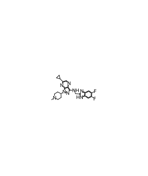 CN1CCC(n2nc(NCc3nc4cc(F)c(F)cc4[nH]3)c3ncc(C4CC4)nc32)CC1